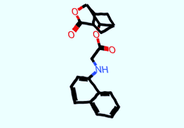 O=C(CNc1cccc2ccccc12)OC1C2CC3C(=O)OC1C3C2